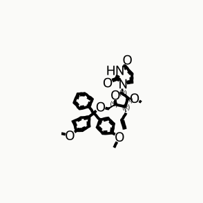 C=CC[C@H]1[C@@H](OC)[C@H](n2ccc(=O)[nH]c2=O)O[C@@H]1COC(c1ccccc1)(c1ccc(OC)cc1)c1ccc(OC)cc1